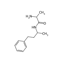 CC(CCc1ccccc1)NC(=O)C(C)N